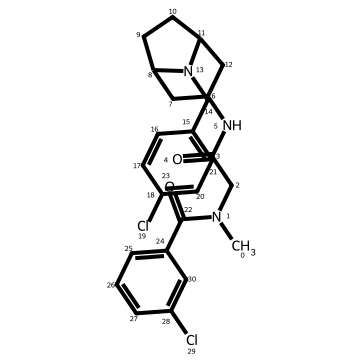 CN(CC(=O)NC1CC2CCC(C1)N2Cc1ccc(Cl)cc1)C(=O)c1cccc(Cl)c1